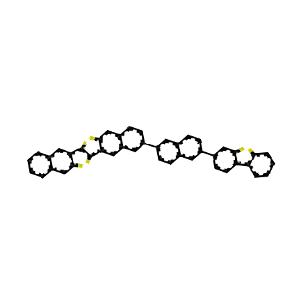 c1ccc2cc3c(cc2c1)sc1c2cc4cc(-c5ccc6cc(-c7ccc8c(c7)sc7ccccc78)ccc6c5)ccc4cc2sc31